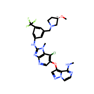 CNc1nccn2ncc(Oc3cnc4nc(Nc5cc(CN6CC[C@H](OC)C6)cc(C(F)(F)F)c5)n(C)c4c3Cl)c12